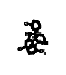 O=C1Nc2cc(Cl)ccc2[C@]12[C@@H](c1ccccc1C(F)(F)F)NCC[C@H]2c1cccc(Cl)c1